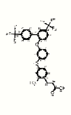 Cc1cc(Oc2cccc(Oc3ccc(C(F)(F)F)cc3-c3ccc(C(F)(F)F)cc3)c2)ccc1CCC(=O)O